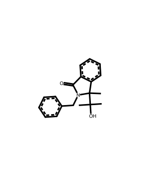 CC(C)(O)C1(C)c2ccccc2C(=O)N1Cc1ccccc1